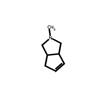 CN1CC2C=[C]CC2C1